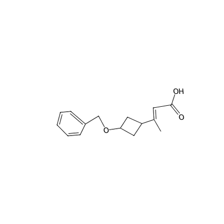 CC(=CC(=O)O)C1CC(OCc2ccccc2)C1